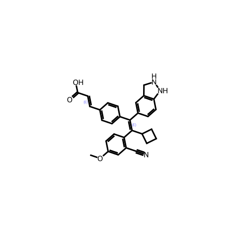 COc1ccc(/C(=C(\c2ccc(/C=C/C(=O)O)cc2)c2ccc3c(c2)CNN3)C2CCC2)c(C#N)c1